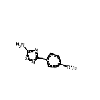 COc1ccc(-c2nsc(N)n2)cc1